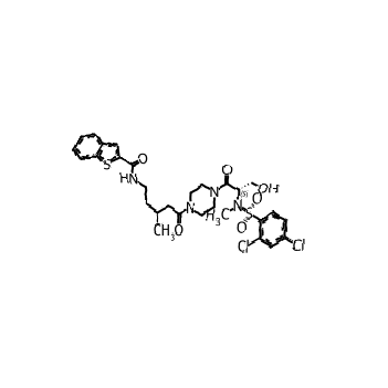 CC(CCNC(=O)c1cc2ccccc2s1)CC(=O)N1CCN(C(=O)[C@H](CO)N(C)S(=O)(=O)c2ccc(Cl)cc2Cl)CC1